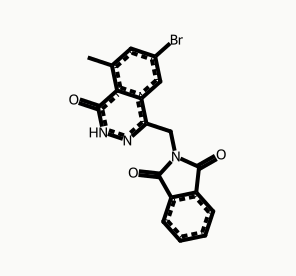 Cc1cc(Br)cc2c(CN3C(=O)c4ccccc4C3=O)n[nH]c(=O)c12